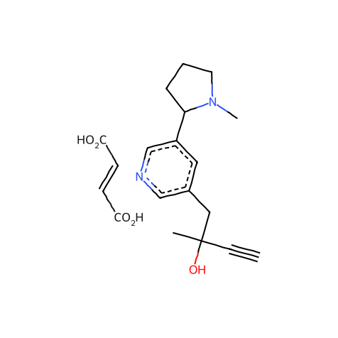 C#CC(C)(O)Cc1cncc(C2CCCN2C)c1.O=C(O)C=CC(=O)O